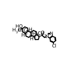 C[C@@]1(O)CC[C@@]2(C)[C@H](CC[C@@H]3[C@@H]2CC[C@]2(C)[C@@H](C(=O)Cn4cnc5ccc(Cl)cc54)CC[C@@H]32)C1